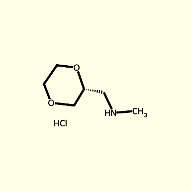 CNC[C@@H]1COCCO1.Cl